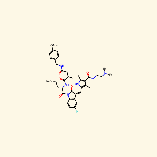 CCN(CC)CCNC(=O)c1c(C)[nH]c(/C=C2\C(=O)N(C(=O)[C@H](CCC(=O)O)NC(=O)C(C)CC(=O)NCc3ccc(OC)cc3)c3ccc(F)cc32)c1C